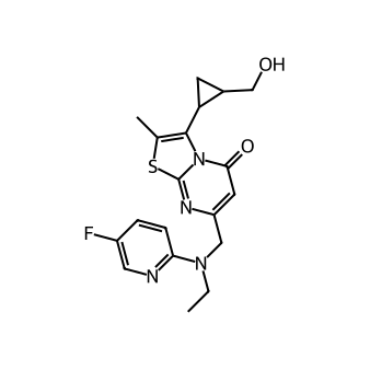 CCN(Cc1cc(=O)n2c(C3CC3CO)c(C)sc2n1)c1ccc(F)cn1